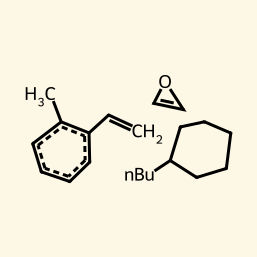 C1=CO1.C=Cc1ccccc1C.CCCCC1CCCCC1